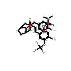 CN(C)C(=O)Nc1cc(Cl)c(OC(F)(F)F)cc1/C=C/C(=O)N1C2CCC1CN(Cc1ccc(F)cc1)C2